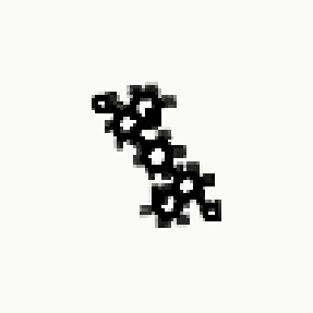 Clc1ccc(-c2ccc(-c3ccc(Cl)c4cccnc34)cc2)c2ncccc12